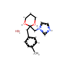 Br.Cc1ccc(CC2(Cn3ccnc3)OCCCO2)cc1